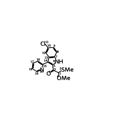 COC(SC)C(=O)c1[nH]c2ccc(Cl)cc2c1-c1ccccn1